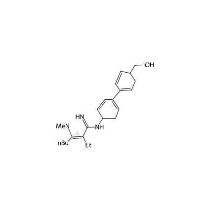 CCCC/C(NC)=C(\CC)C(=N)NC1C=CC(C2=CCC(CO)C=C2)=CC1